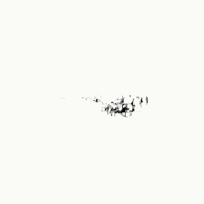 C[C@]12CCC(=O)C=C1CC[C@@H]1[C@@H]2[C@@H](O)C[C@@]2(C)[C@H]1CC[C@]2(O)C(=O)COC(=O)CCS(=O)(=O)O